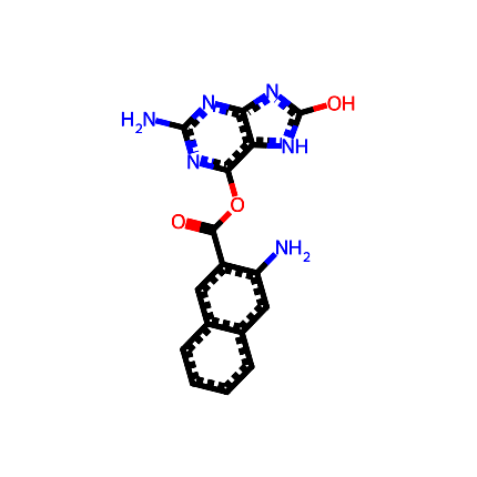 Nc1nc(OC(=O)c2cc3ccccc3cc2N)c2[nH]c(O)nc2n1